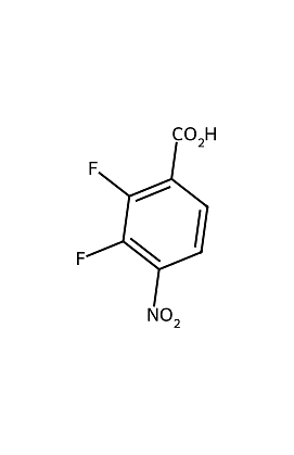 O=C(O)c1ccc([N+](=O)[O-])c(F)c1F